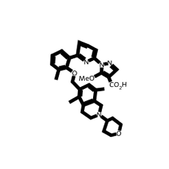 COc1c(C(=O)O)cnn1-c1cccc(-c2cccc(C)c2OCc2cc(C)c3c(c2C)CCN(C2CCOCC2)C3)n1